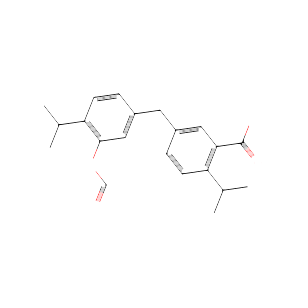 CC(C)c1ccc(Cc2ccc(C(C)C)c(C(=O)O)c2)cc1OC=O